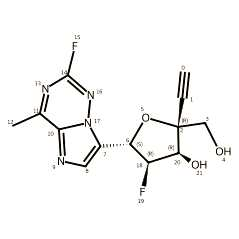 C#C[C@]1(CO)O[C@@H](c2cnc3c(C)nc(F)nn23)[C@H](F)[C@@H]1O